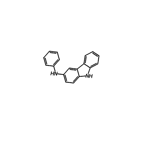 c1ccc(Nc2ccc3[nH]c4ccccc4c3c2)cc1